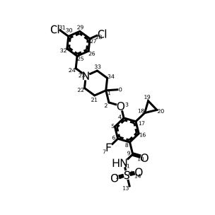 CC1(COc2cc(F)c(C(=O)NS(C)(=O)=O)cc2C2CC2)CCN(Cc2cc(Cl)cc(Cl)c2)CC1